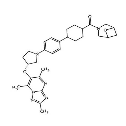 Cc1nc2nc(C)c(O[C@@H]3CCN(c4ccc(C5CCC(C(=O)N6CC7CC(C6)O7)CC5)cc4)C3)c(C)n2n1